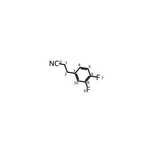 N#CCCc1ccc(F)c(F)c1